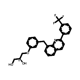 OC[C@H](O)COc1cccc(Cc2cccc3ccc(-c4cccc(C(F)(F)F)c4)nc23)c1